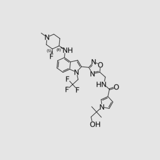 CN1CC[C@@H](Nc2cccc3c2cc(-c2noc(CNC(=O)c4ccn(C(C)(C)CO)c4)n2)n3CC(F)(F)F)[C@@H](F)C1